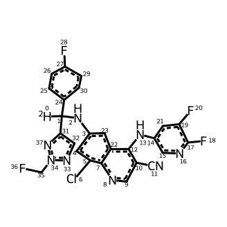 [2H]C(Nc1cc(Cl)c2ncc(C#N)c(Nc3cnc(F)c(F)c3)c2c1)(c1ccc(F)cc1)c1cnn(CF)n1